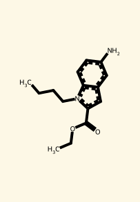 CCCCn1c(C(=O)OCC)cc2cc(N)ccc21